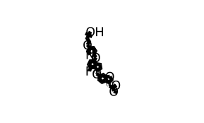 COC(=O)C[C@@H]1COc2cc(O[C@@H]3CCc4c(Oc5ccc(OCCC(C)(C)O)cn5)ccc(F)c43)ccc21